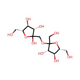 OC[C@H]1OC(O)(COC2(CO)O[C@H](CO)[C@@H](O)[C@@H]2O)[C@@H](O)[C@@H]1O